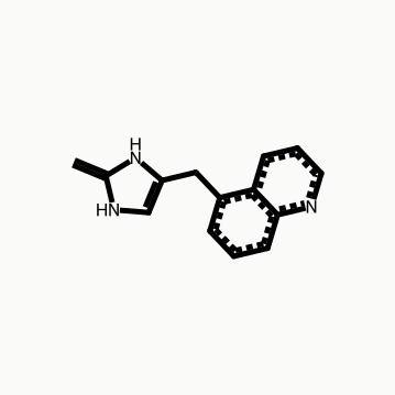 C=C1NC=C(Cc2cccc3ncccc23)N1